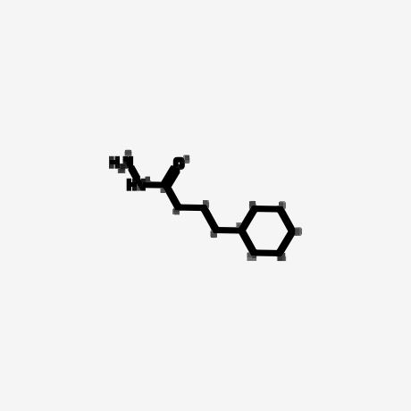 NNC(=O)CCCC1CCCCC1